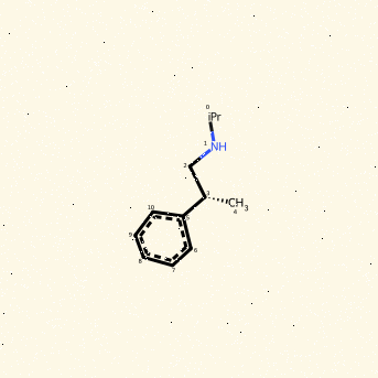 CC(C)NC[C@H](C)c1ccccc1